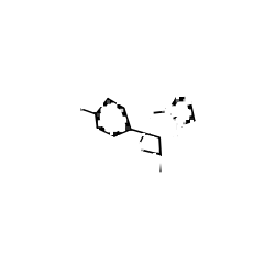 C[C@@H]1[C@@H](C)O[C@@]1(Cn1cncn1)c1ccc(Cl)cc1